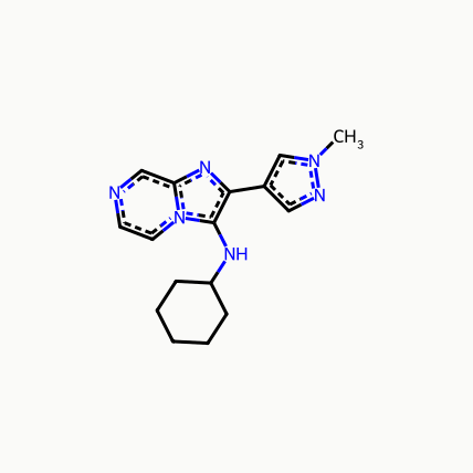 Cn1cc(-c2nc3cnccn3c2NC2CCCCC2)cn1